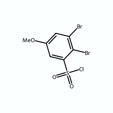 COc1cc(Br)c(Br)c(S(=O)(=O)Cl)c1